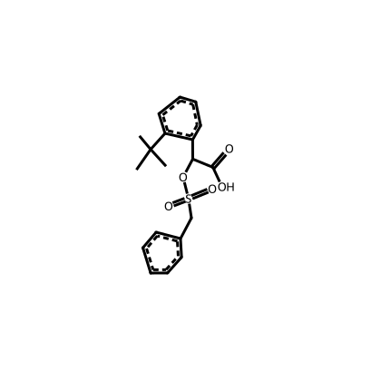 CC(C)(C)c1ccccc1C(OS(=O)(=O)Cc1ccccc1)C(=O)O